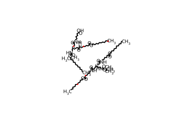 CCCCCCCCCCCCC(C)(C)OC(=O)NCCN(CCC(=O)NCCCCCC(=O)O)CCC(=O)NCCCCCC(=O)OCCCCCCCCCCC.CCCCCCCCCCCOC(=O)CCCCCNC(=O)CCN(CCNC(=O)OC(C)(C)C)CCC(=O)NCCCCCC(=O)OCCCCCCCCCCC